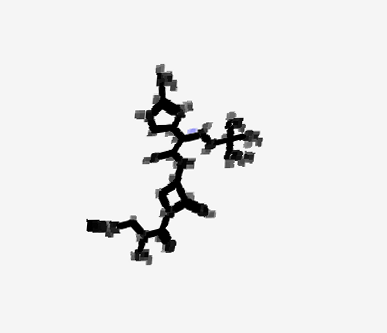 CN(CC(=O)O)C(=O)N1CC(NC(=O)/C(=N\OC(C)(C)C(=O)O)c2csc(N)n2)C1=O